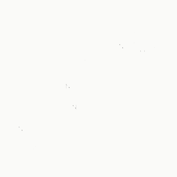 CNC(=O)c1ccc2c(ccn2-c2ccc(OC3CCN(C(=O)OC(C)(C)C)CC3)cn2)c1